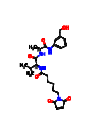 CC(C)[C@H](NC(=O)CCCCCN1C(=O)C=CC1=O)C(=O)N[C@@H](C)C(=O)Nc1cccc(CO)c1